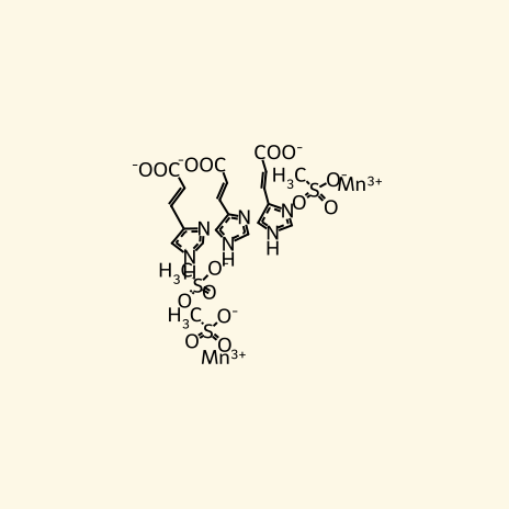 CS(=O)(=O)[O-].CS(=O)(=O)[O-].CS(=O)(=O)[O-].O=C([O-])C=Cc1c[nH]cn1.O=C([O-])C=Cc1c[nH]cn1.O=C([O-])C=Cc1c[nH]cn1.[Mn+3].[Mn+3]